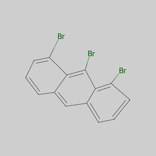 Brc1cccc2cc3cccc(Br)c3c(Br)c12